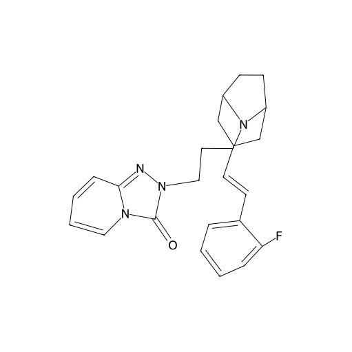 O=c1n(CCCN2C3CCC2CC(/C=C/c2ccccc2F)C3)nc2ccccn12